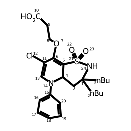 CCCCC1(CCCC)CC2C(=C(OCCC(=O)O)C(Cl)=CN2c2ccccc2)S(=O)(=O)N1